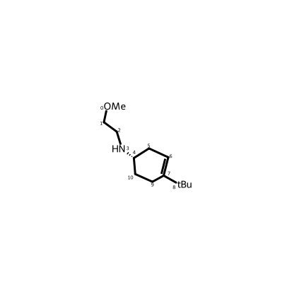 COCCN[C@@H]1CC=C(C(C)(C)C)CC1